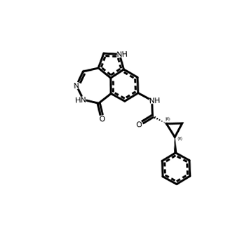 O=C1NN=Cc2c[nH]c3cc(NC(=O)[C@@H]4C[C@H]4c4ccccc4)cc1c23